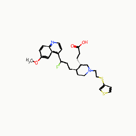 COc1ccc2nccc([C@H](F)CC[C@@H]3CCN(CCSc4ccsc4)C[C@H]3CCC(=O)O)c2c1